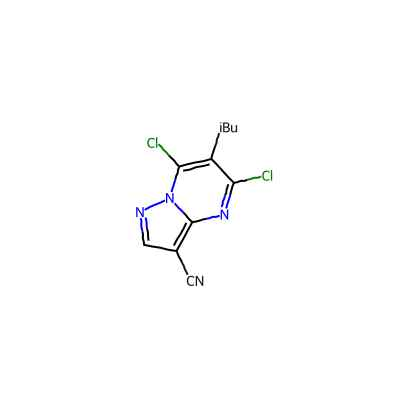 CCC(C)c1c(Cl)nc2c(C#N)cnn2c1Cl